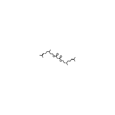 CC(C)=CCCC(C)CCOC(=O)CC(=O)OCCC(C)CCC=C(C)C